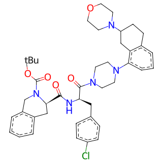 CC(C)(C)OC(=O)N1Cc2ccccc2C[C@@H]1C(=O)N[C@H](Cc1ccc(Cl)cc1)C(=O)N1CCN(c2cccc3c2CC(N2CCOCC2)CC3)CC1